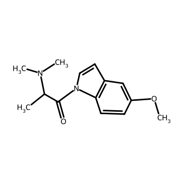 COc1ccc2c(ccn2C(=O)C(C)N(C)C)c1